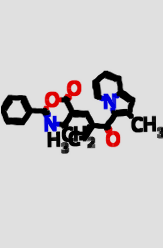 C=c1nc(-c2ccccc2)oc(=O)/c1=C/C(=C\C)C(=O)c1c(C)cc2ccccn12